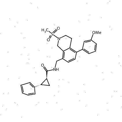 COc1cccc(-c2ccc(CNC(=O)[C@H]3C[C@@H]3c3ccccc3)c3c2CCN(S(C)(=O)=O)C3)c1